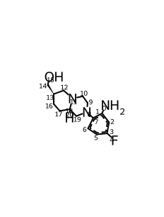 Nc1cc(F)ccc1N1CCN2C[C@H](CO)CC[C@H]2C1